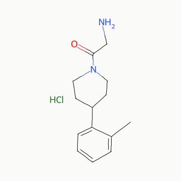 Cc1ccccc1C1CCN(C(=O)CN)CC1.Cl